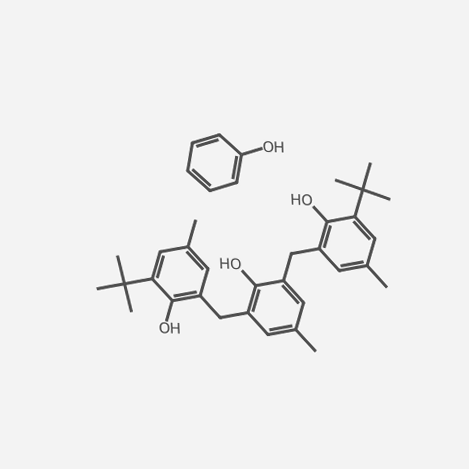 Cc1cc(Cc2cc(C)cc(C(C)(C)C)c2O)c(O)c(Cc2cc(C)cc(C(C)(C)C)c2O)c1.Oc1ccccc1